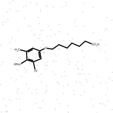 CCCCCCCCCc1c(C)cc(OCCCCCCS(=O)(=O)O)cc1CC